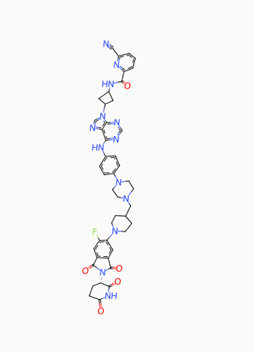 N#Cc1cccc(C(=O)NC2CC(n3cnc4c(Nc5ccc(N6CCN(CC7CCN(c8cc9c(cc8F)C(=O)N([C@H]8CCC(=O)NC8=O)C9=O)CC7)CC6)cc5)ncnc43)C2)n1